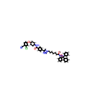 N#Cc1ccc(OC2CCC(NC(=O)c3ccc(-c4cn(CCCCCCC(=O)NOC(c5ccccc5)(c5ccccc5)c5ccccc5)nn4)cc3)CC2)cc1Cl